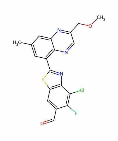 COCc1cnc2c(-c3nc4c(Cl)c(F)c(C=O)cc4s3)cc(C)cc2n1